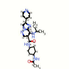 CC(=O)NC1CCC(NC(=O)c2cnn3cc(-c4ccncc4)nc3c2NC(C)C)CC1